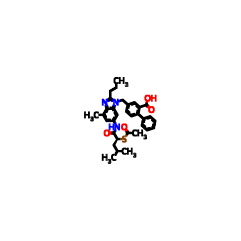 CCCc1nc2c(C)cc(NC(=O)[C@H](CC(C)C)SC(C)=O)cc2n1Cc1ccc(-c2ccccc2)c(C(=O)O)c1